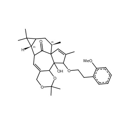 COc1ccccc1CCOC1C(C)=CC23C(=O)C(C=C4COC(C)(C)OC4C12O)[C@H]1C(C[C@H]3C)C1(C)C